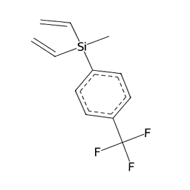 C=C[Si](C)(C=C)c1ccc(C(F)(F)F)cc1